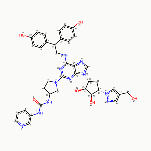 O=C(Nc1cccnc1)NC1CCN(c2nc(NCC(c3ccc(O)cc3)c3ccc(O)cc3)c3ncn([C@@H]4C[C@H](n5cc(CO)cn5)[C@@H](O)[C@H]4O)c3n2)C1